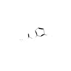 COC(=O)Oc1cccc(O)c1